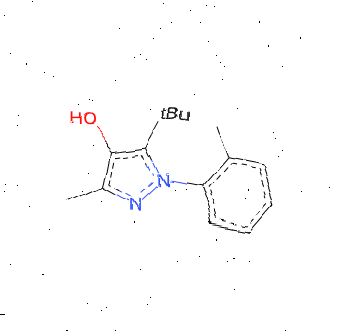 Cc1ccccc1-n1nc(C)c(O)c1C(C)(C)C